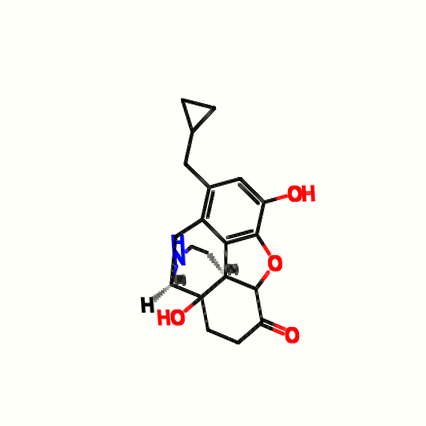 O=C1CCC2(O)[C@H]3Cc4c(CC5CC5)cc(O)c5c4[C@@]2(CCN3)C1O5